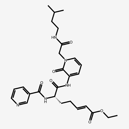 CCOC(=O)/C=C/CC[C@H](NC(=O)c1cccnc1)C(=O)Nc1cccn(CC(=O)NCCC(C)C)c1=O